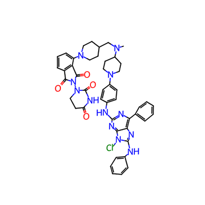 CN(CC1CCN(c2cccc3c2C(=O)N(N2CCC(=O)NC2=O)C3=O)CC1)C1CCN(c2ccc(Nc3nc(-c4ccccc4)c4nc(Nc5ccccc5)n(Cl)c4n3)cc2)CC1